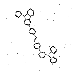 C(=C\c1ccc(-c2ccc3c(c2)c2ccccc2n3-c2ccccc2)cc1)/c1ccc(-c2cccc(-n3c4ccccc4c4ccccc43)c2)cc1